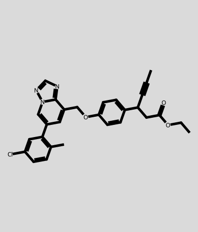 CC#CC(CC(=O)OCC)c1ccc(OCc2cc(-c3cc(Cl)ccc3C)cn3ncnc23)cc1